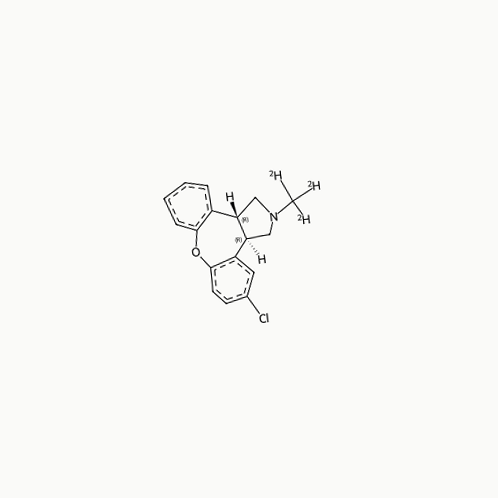 [2H]C([2H])([2H])N1C[C@H]2c3ccccc3Oc3ccc(Cl)cc3[C@@H]2C1